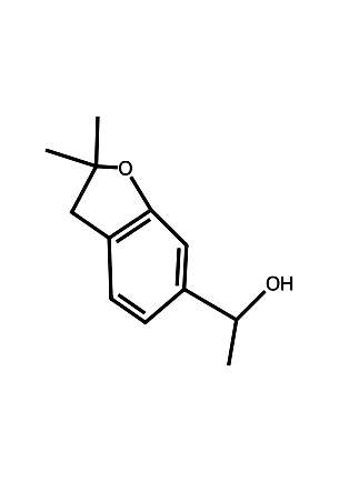 CC(O)c1ccc2c(c1)OC(C)(C)C2